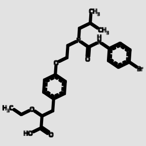 CCOC(Cc1ccc(OCCN(CC(C)C)C(=O)Nc2ccc(Br)cc2)cc1)C(=O)O